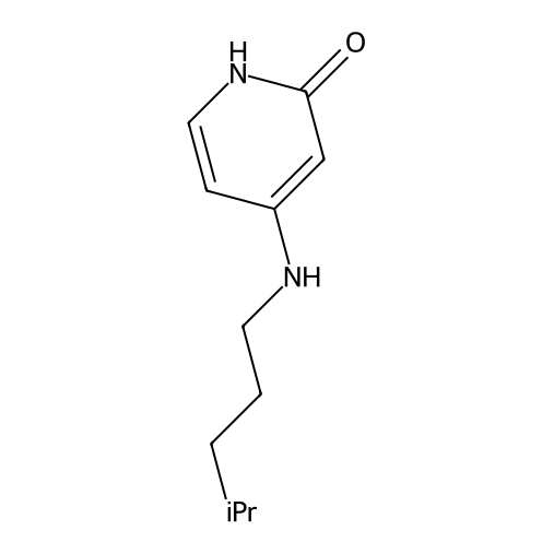 CC(C)CCCNc1cc[nH]c(=O)c1